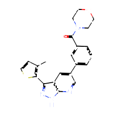 Cc1ccsc1-c1n[nH]c2ncc(-c3cccc(C(=O)N4CCOCC4)c3)cc12